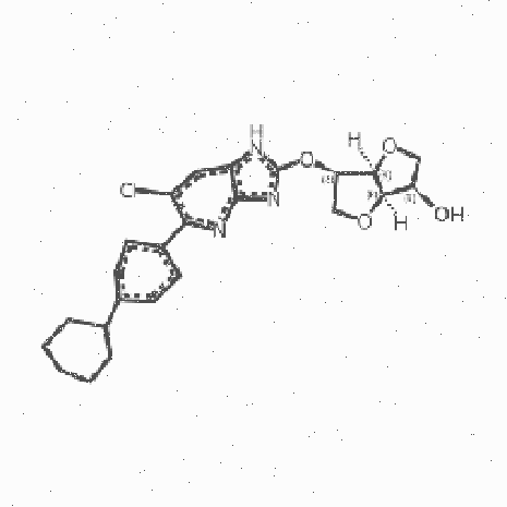 O[C@@H]1CO[C@H]2[C@@H]1OC[C@H]2Oc1nc2nc(-c3ccc(C4CCCCC4)cc3)c(Cl)cc2[nH]1